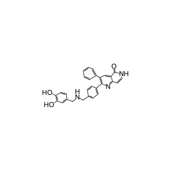 O=c1[nH]ccc2nc(-c3ccc(CNCc4ccc(O)c(O)c4)cc3)c(-c3ccccc3)cc12